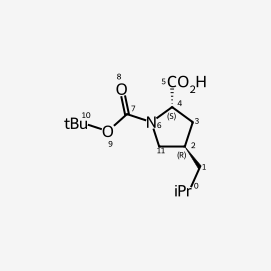 CC(C)C[C@@H]1C[C@@H](C(=O)O)N(C(=O)OC(C)(C)C)C1